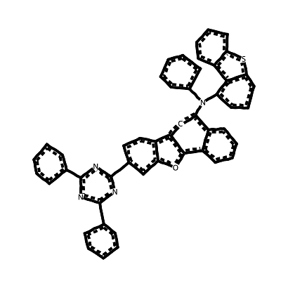 c1ccc(-c2nc(-c3ccccc3)nc(-c3ccc4c(c3)oc3c5ccccc5c(N(c5ccccc5)c5cccc6sc7ccccc7c56)cc43)n2)cc1